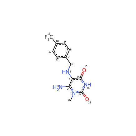 Cn1c(N)c(NCc2ccc(C(F)(F)F)cc2)c(=O)[nH]c1=O